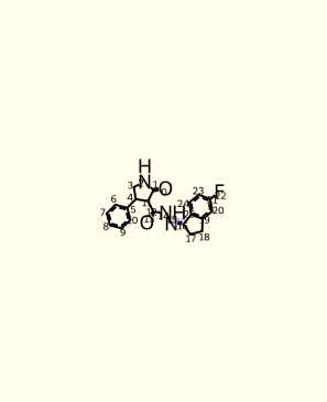 O=C1NCC(c2ccccc2)C1C(=O)N/N=C1/CCc2cc(F)ccc21